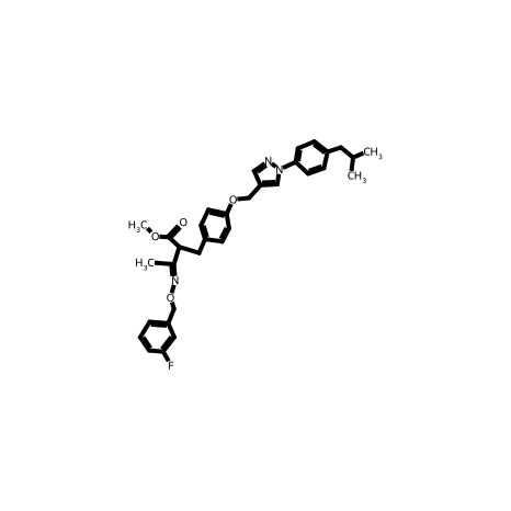 COC(=O)C(Cc1ccc(OCc2cnn(-c3ccc(CC(C)C)cc3)c2)cc1)C(C)=NOCc1cccc(F)c1